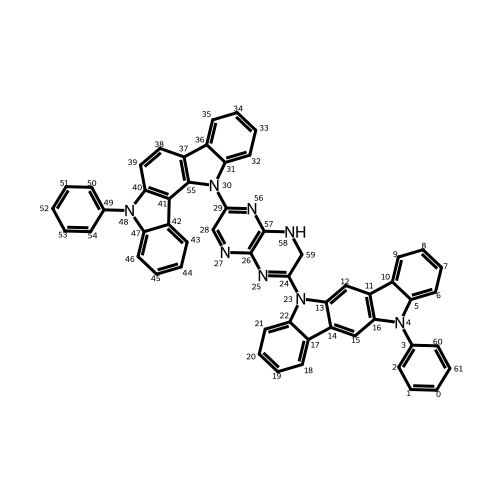 c1ccc(-n2c3ccccc3c3cc4c(cc32)c2ccccc2n4C2=Nc3ncc(-n4c5ccccc5c5ccc6c(c7ccccc7n6-c6ccccc6)c54)nc3NC2)cc1